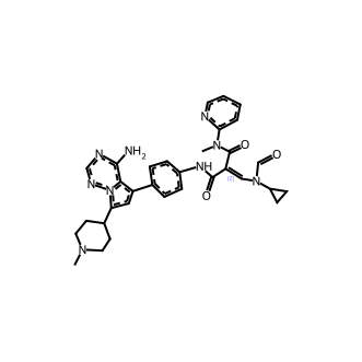 CN1CCC(c2cc(-c3ccc(NC(=O)/C(=C/N(C=O)C4CC4)C(=O)N(C)c4ccccn4)cc3)c3c(N)ncnn23)CC1